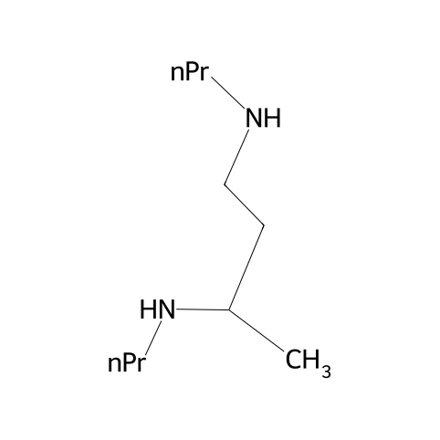 CCCNCCC(C)NCCC